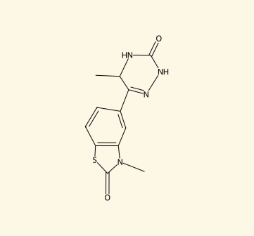 CC1NC(=O)NN=C1c1ccc2sc(=O)n(C)c2c1